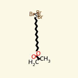 C=C(C)C(=O)OCCCCCCCCCCCCC[Si](Br)(Br)Br